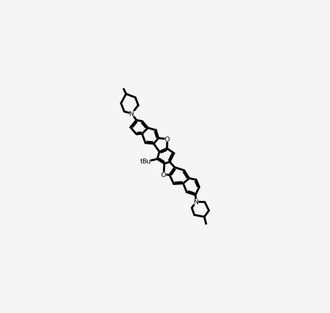 CC1CCN(c2ccc3cc4c(cc3c2)oc2c(C(C)(C)C)c3c(cc24)oc2cc4cc(N5CCC(C)CC5)ccc4cc23)CC1